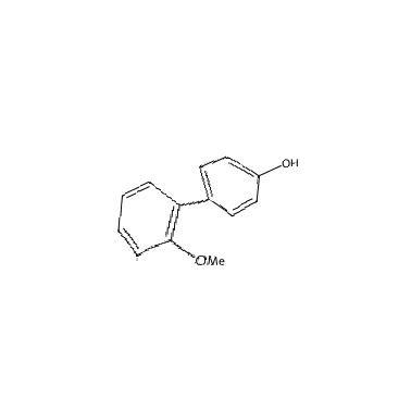 COc1[c]cccc1-c1ccc(O)cc1